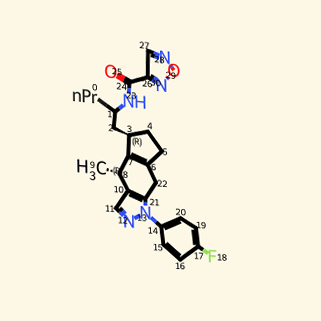 CCCC(C[C@H]1CCC2=C1[C@@H](C)c1cnn(-c3ccc(F)cc3)c1C2)NC(=O)c1cnon1